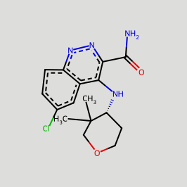 CC1(C)COCC[C@H]1Nc1c(C(N)=O)nnc2ccc(Cl)cc12